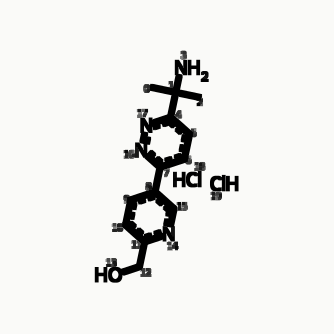 CC(C)(N)c1ccc(-c2ccc(CO)nc2)nn1.Cl.Cl